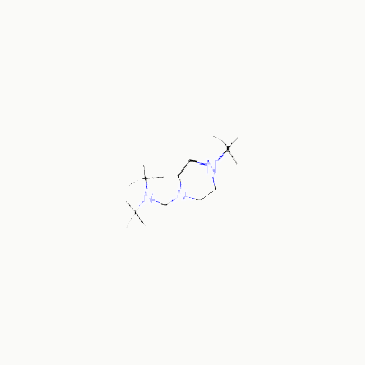 CC(C)(C)N1CCN(CN(C(C)(C)C)C(C)(C)C)CC1